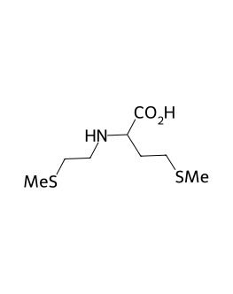 CSCCNC(CCSC)C(=O)O